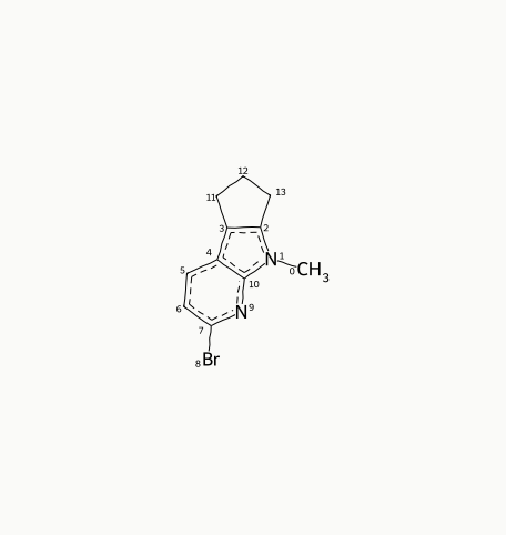 Cn1c2c(c3ccc(Br)nc31)CCC2